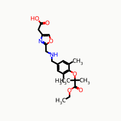 CCOC(=O)C(C)(C)Oc1c(C)cc(CNCc2nc(CC(=O)O)co2)cc1C